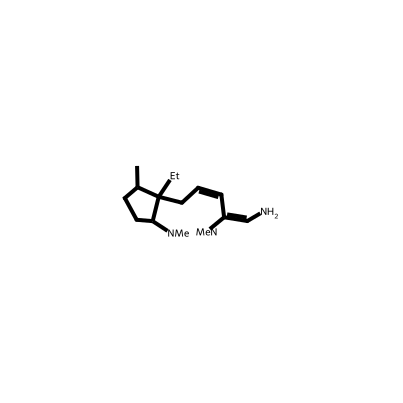 CCC1(C/C=C\C(=C/N)NC)C(C)CCC1NC